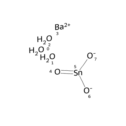 O.O.O.[Ba+2].[O]=[Sn]([O-])[O-]